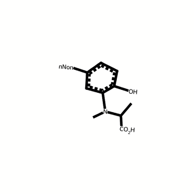 CCCCCCCCCc1ccc(O)c(N(C)C(C)C(=O)O)c1